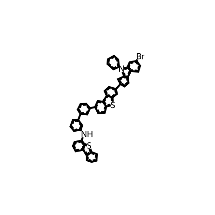 Brc1ccc2c3ccc(-c4ccc5c(c4)sc4ccc(-c6cccc(-c7cccc(Nc8cccc9c8sc8ccccc89)c7)c6)cc45)cc3n(-c3ccccc3)c2c1